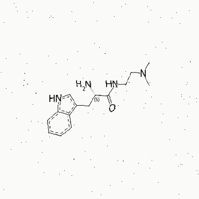 CN(C)CCNC(=O)[C@@H](N)Cc1c[nH]c2ccccc12